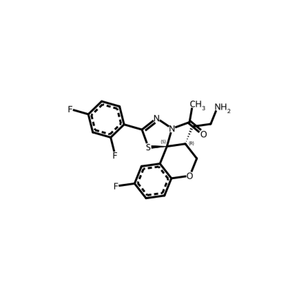 CC(=O)N1N=C(c2ccc(F)cc2F)S[C@@]12c1cc(F)ccc1OC[C@H]2CCN